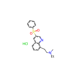 CCN(C)CCc1cccc2cc(S(=O)(=O)c3ccccc3)cnc12.Cl